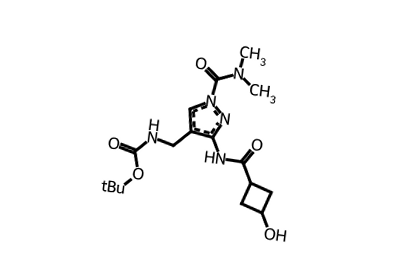 CN(C)C(=O)n1cc(CNC(=O)OC(C)(C)C)c(NC(=O)C2CC(O)C2)n1